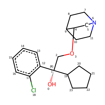 O[C@@](COC1CN2CCC1CC2)(c1ccccc1Cl)C1CCCC1